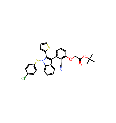 CC(C)(C)OC(=O)COc1cccc(-c2c(-c3cccs3)n(Sc3ccc(Cl)cc3)c3ccccc23)c1C#N